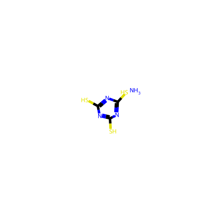 N.Sc1nc(S)nc(S)n1